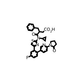 O=C(O)CC(Cc1ccccc1)C(=O)N(c1nc(-c2cc(F)ccc2-c2ccc(N3CCCC3=O)nc2)cs1)C1CC1